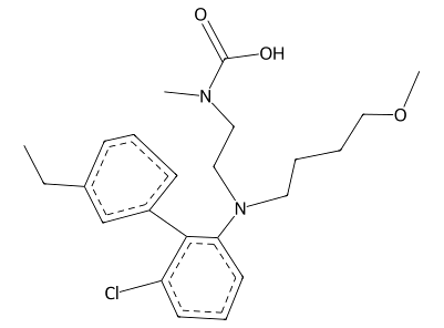 CCc1cccc(-c2c(Cl)cccc2N(CCCCOC)CCN(C)C(=O)O)c1